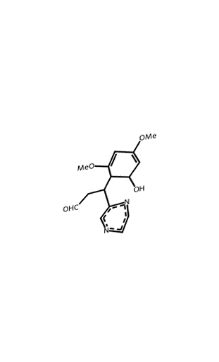 COC1=CC(O)C(C(CC=O)c2cnccn2)C(OC)=C1